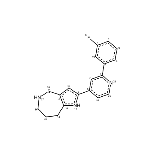 Fc1cccc(-c2cc(-c3cc4c([nH]3)CCCNS4)ccn2)c1